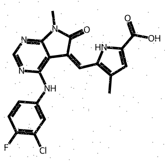 Cc1cc(C(=O)O)[nH]c1/C=C1\C(=O)N(C)c2ncnc(Nc3ccc(F)c(Cl)c3)c21